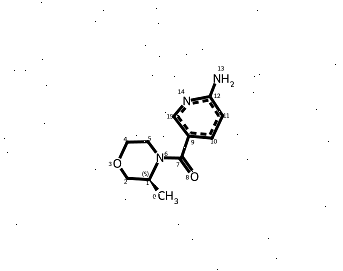 C[C@H]1COCCN1C(=O)c1ccc(N)nc1